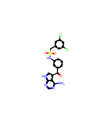 Nc1ncnc2[nH]cc(C(=O)c3cccc(NS(=O)(=O)Cc4cc(Cl)cc(Cl)c4)c3)c12